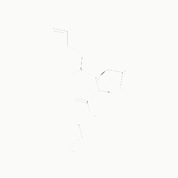 C=CCOC(=O)C1C2CCC(C2)C1C(=O)OCC=C